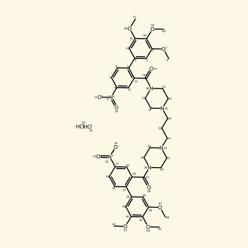 COc1cc(-c2ccc([N+](=O)[O-])cc2C(=O)N2CCN(CCCN3CCN(C(=O)c4cc([N+](=O)[O-])ccc4-c4cc(OC)c(OC)c(OC)c4)CC3)CC2)cc(OC)c1OC.Cl.Cl